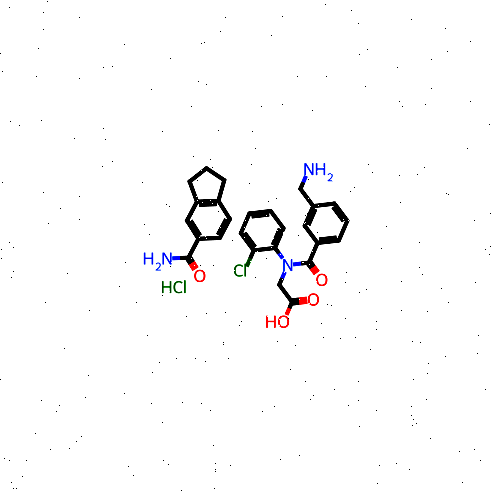 Cl.NC(=O)c1ccc2c(c1)CCC2.NCc1cccc(C(=O)N(CC(=O)O)c2ccccc2Cl)c1